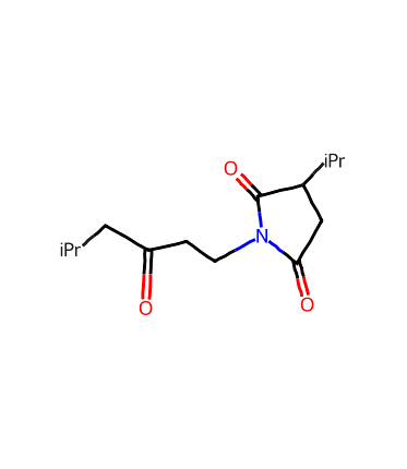 CC(C)CC(=O)CCN1C(=O)CC(C(C)C)C1=O